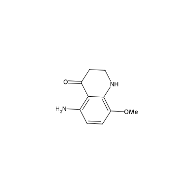 COc1ccc(N)c2c1NCCC2=O